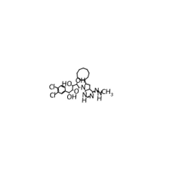 CN/N=C1\N=CNC2C1CC(C1CCCCCCCC1)N2[C@@H]1O[C@H]([C@H](O)c2ccc(Cl)c(Cl)c2)[C@@H](O)[C@H]1O